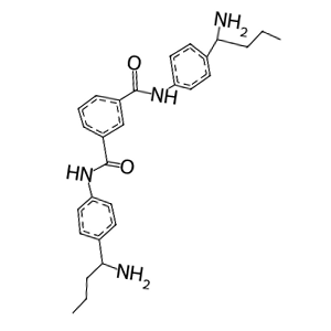 CCCC(N)c1ccc(NC(=O)c2cccc(C(=O)Nc3ccc(C(N)CCC)cc3)c2)cc1